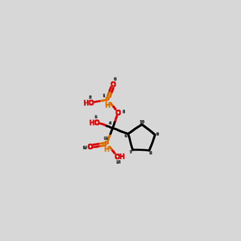 O=[PH](O)OC(O)(C1CCCC1)[PH](=O)O